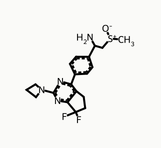 C[S+]([O-])CC(N)c1ccc(-c2nc(N3CCC3)nc3c2CCC3(F)F)cc1